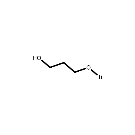 OCCC[O][Ti]